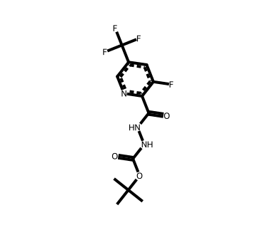 CC(C)(C)OC(=O)NNC(=O)c1ncc(C(F)(F)F)cc1F